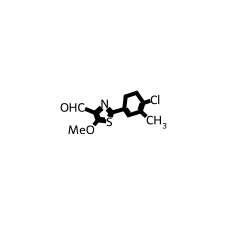 COc1sc(C2=CC(C)=C(Cl)CC2)nc1C=O